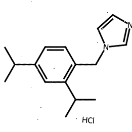 CC(C)c1ccc(Cn2ccnc2)c(C(C)C)c1.Cl